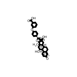 C[C@]12C=CC(=O)C=C1CC[C@@H]1[C@@H]2[C@@H](O)C[C@@]2(C)[C@H]1C[C@H]1O[C@H](c3ccc(Oc4cccc(C(=O)O)c4)cc3)O[C@]12C(=O)CO